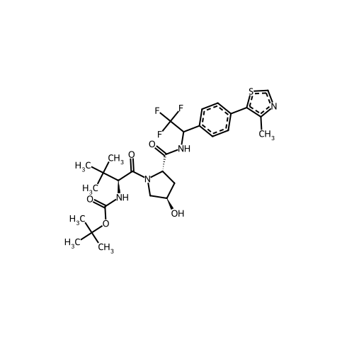 Cc1ncsc1-c1ccc(C(NC(=O)[C@@H]2C[C@@H](O)CN2C(=O)[C@@H](NC(=O)OC(C)(C)C)C(C)(C)C)C(F)(F)F)cc1